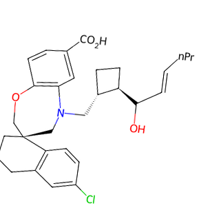 CCC/C=C/C(O)[C@@H]1CC[C@H]1CN1C[C@@]2(CCCc3cc(Cl)ccc32)COc2ccc(C(=O)O)cc21